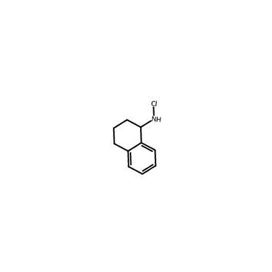 ClNC1CCCc2ccccc21